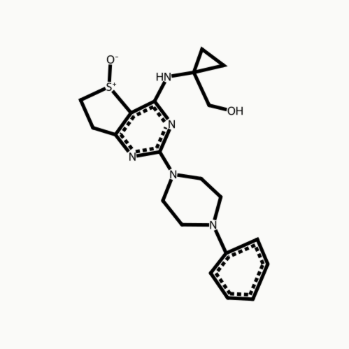 [O-][S+]1CCc2nc(N3CCN(c4ccccc4)CC3)nc(NC3(CO)CC3)c21